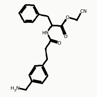 N#CCOC(=O)C(Cc1ccccc1)NC(=O)CCc1ccc(CN)cc1